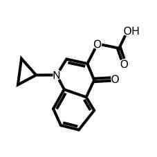 O=C(O)Oc1cn(C2CC2)c2ccccc2c1=O